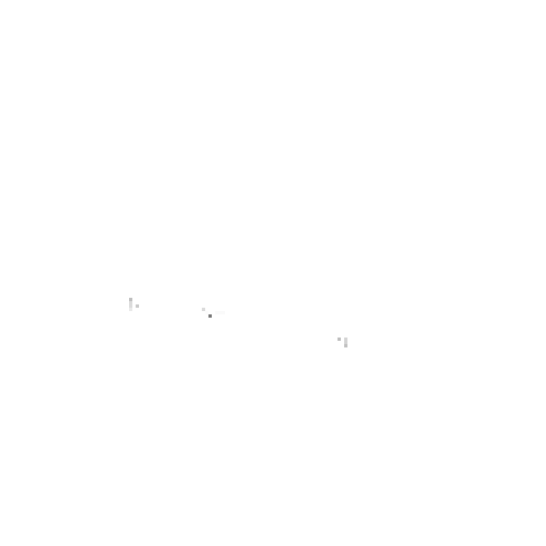 Cc1nc[nH]c1[C@H](C)C1=CC2N=CC=CC2C=C1